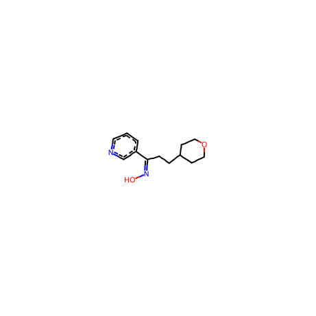 ON=C(CCC1CCOCC1)c1cccnc1